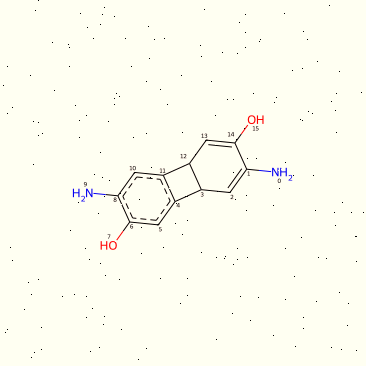 NC1=CC2c3cc(O)c(N)cc3C2C=C1O